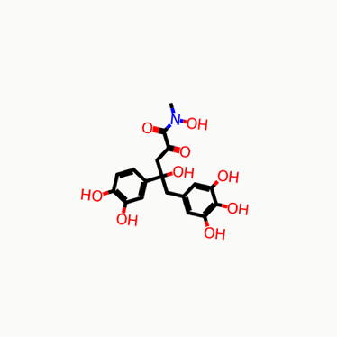 CN(O)C(=O)C(=O)CC(O)(Cc1cc(O)c(O)c(O)c1)c1ccc(O)c(O)c1